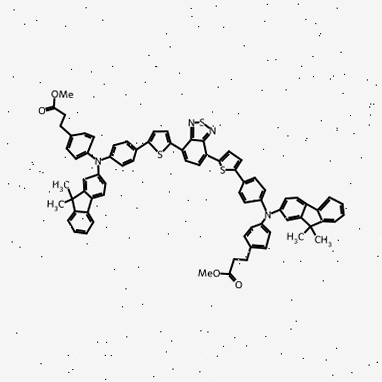 COC(=O)CCc1ccc(N(c2ccc(-c3ccc(-c4ccc(-c5ccc(-c6ccc(N(c7ccc(CCC(=O)OC)cc7)c7ccc8c(c7)C(C)(C)c7ccccc7-8)cc6)s5)c5nsnc45)s3)cc2)c2ccc3c(c2)C(C)(C)c2ccccc2-3)cc1